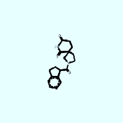 O=C1CCC2(CCN(C(=O)C3CCc4ccccc43)C2)C(=O)N1